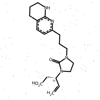 C=C[C@H](CC(=O)O)N1CCN(CCCc2ccc3c(n2)NCCC3)C1=O